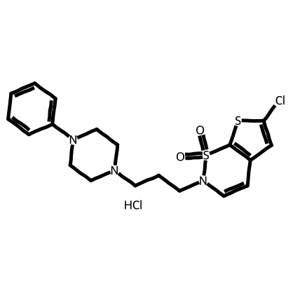 Cl.O=S1(=O)c2sc(Cl)cc2C=CN1CCCN1CCN(c2ccccc2)CC1